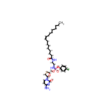 CCCCCCCC/C=C\CCCCCCCC(=O)NCCNP(=O)(OC[C@@H]1OC(n2ccc(N)nc2=O)CS1)Oc1ccc(F)cc1